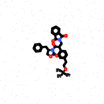 CC(C)[Si](OCCc1ccc(C(CN2C(=O)c3ccccc3C2=O)C(=O)N2C(=O)OCC2Cc2ccccc2)cc1)(C(C)C)C(C)C